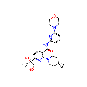 O=C(Nc1cccc(N2CCOCC2)n1)c1ccc([C@](O)(CO)C(F)(F)F)nc1N1CCC2(CC1)CC2